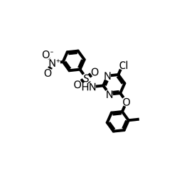 Cc1ccccc1Oc1cc(Cl)nc(NS(=O)(=O)c2cccc([N+](=O)[O-])c2)n1